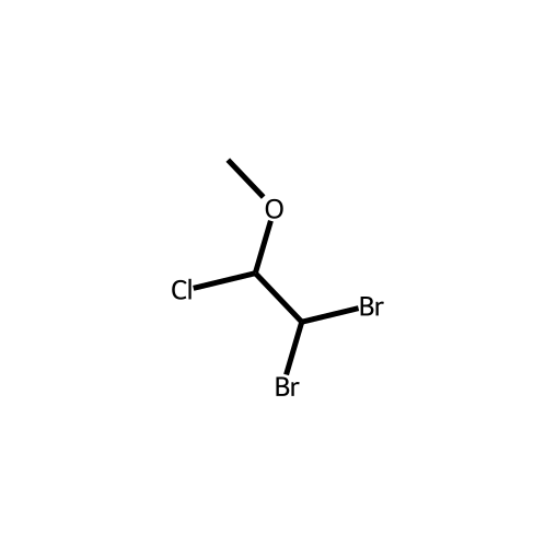 COC(Cl)C(Br)Br